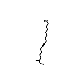 CCC(C)CCCCC#CCCCCCCCO